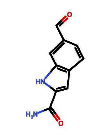 NC(=O)c1cc2ccc(C=O)cc2[nH]1